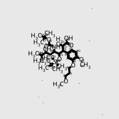 COCCCOc1cc(C(C(C)C(=O)O)C(O[Si](C)(C)C(C)(C)C)C(CC(C)C(C)C)NC(=O)OC(C)(C)C)ccc1OC